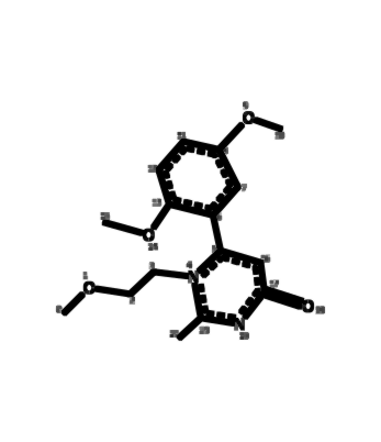 COCCn1c(-c2cc(OC)ccc2OC)cc(=O)nc1C